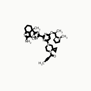 CC#CC(=O)N1CCN(c2cc(O[C@@H](C)[C@@H]3CCCN3C)nc(-c3noc([C@@]4(C)CCCc5sc(N)c(C#N)c54)n3)n2)CC12CC2